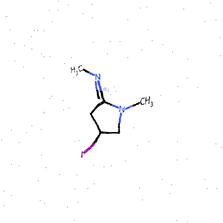 C/N=C1\CC(I)CN1C